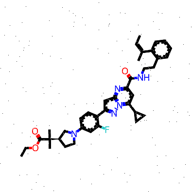 C/C=C(/C)c1ccccc1CCNC(=O)c1cc(C2CC2)n2nc(-c3ccc(N4CC[C@@H](C(C)(C)C(=O)OCC)C4)cc3F)cc2n1